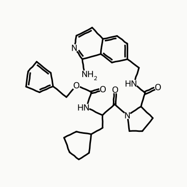 Nc1nccc2ccc(CNC(=O)C3CCCN3C(=O)C(CC3CCCCC3)NC(=O)OCc3ccccc3)cc12